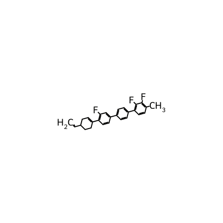 C=CC1CC=C(c2ccc(-c3ccc(-c4ccc(C)c(F)c4F)cc3)cc2F)CC1